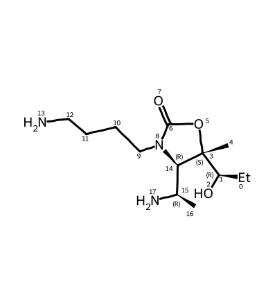 CC[C@@H](O)[C@@]1(C)OC(=O)N(CCCCN)[C@@H]1[C@@H](C)N